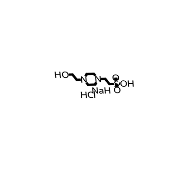 Cl.O=S(=O)(O)CCN1CCN(CCO)CC1.[NaH]